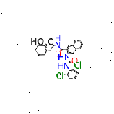 O=C(Nc1cc2ccccc2cc1C(=O)N[C@@H](CC1CCCCC1)C(=O)O)Nc1c(Cl)cccc1Cl